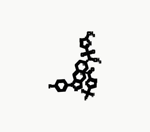 CN([C@H]1CCC2=Cc3c(cnn3-c3ccc(F)cc3)C[C@]2(C(=O)c2ncc(C(F)(F)F)s2)C1)S(=O)(=O)c1cnn(C)n1